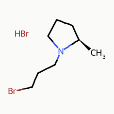 Br.C[C@@H]1CCCN1CCCBr